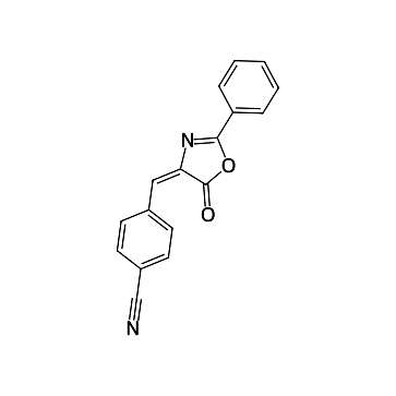 N#Cc1ccc(C=C2N=C(c3ccccc3)OC2=O)cc1